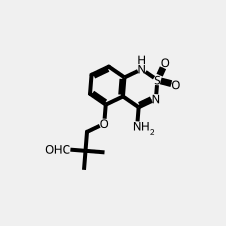 CC(C)(C=O)COc1cccc2c1C(N)=NS(=O)(=O)N2